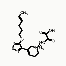 CC=CCCCOc1nsnc1C1=CCCN(C)C1.O=C(O)C(=O)O